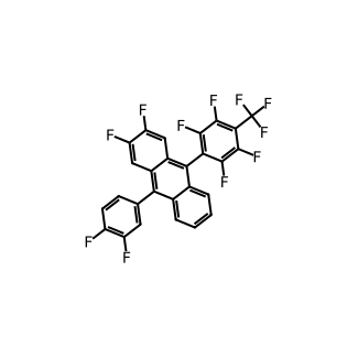 Fc1ccc(-c2c3ccccc3c(-c3c(F)c(F)c(C(F)(F)F)c(F)c3F)c3cc(F)c(F)cc23)cc1F